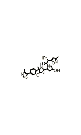 Cc1cc(C(C(=O)N2CC(O)CC2C2=NC(=O)C(C)(c3ccc(-c4scnc4C)cc3)N2)C(C)C)on1